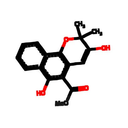 COC(=O)c1c2c(c3ccccc3c1O)OC(C)(C)C(O)=C2